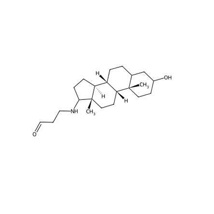 C[C@]12CCC(O)CC1CC[C@@H]1[C@H]2CC[C@]2(C)C(NCCC=O)CC[C@@H]12